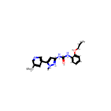 COc1cncc(-c2cc(NC(=O)Nc3ccccc3OCCC(C)C)nn2C)c1